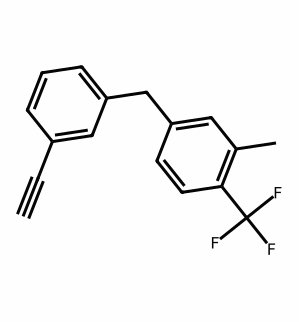 C#Cc1cccc(Cc2ccc(C(F)(F)F)c(C)c2)c1